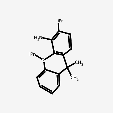 CC(C)c1ccc2c(c1N)P(C(C)C)c1ccccc1C2(C)C